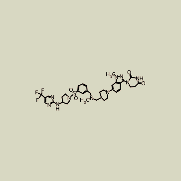 CN(Cc1cccc(S(=O)(=O)N2CCC(Nc3ncc(C(F)(F)F)cn3)CC2)c1)CC1CCN(c2ccc3c(N4CCC(=O)NC4=O)nn(C)c3c2)CC1